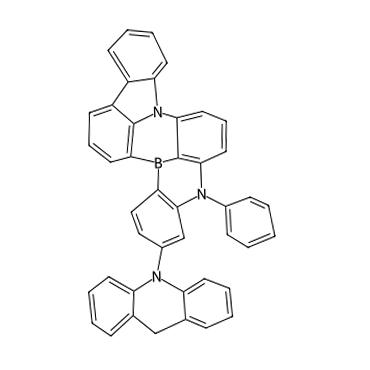 c1ccc(N2c3cc(N4c5ccccc5Cc5ccccc54)ccc3B3c4c2cccc4-n2c4ccccc4c4cccc3c42)cc1